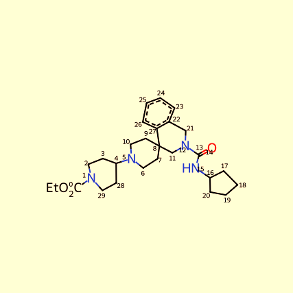 CCOC(=O)N1CCC(N2CCC3(CC2)CN(C(=O)NC2CCCC2)Cc2ccccc23)CC1